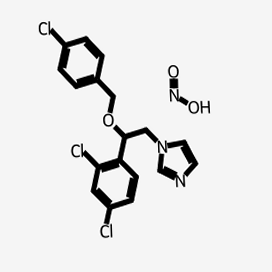 Clc1ccc(COC(Cn2ccnc2)c2ccc(Cl)cc2Cl)cc1.O=NO